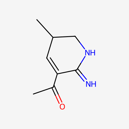 CC(=O)C1=CC(C)CNC1=N